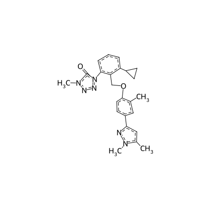 Cc1cc(-c2cc(C)n(C)n2)ccc1OCc1c(C2CC2)cccc1-n1nnn(C)c1=O